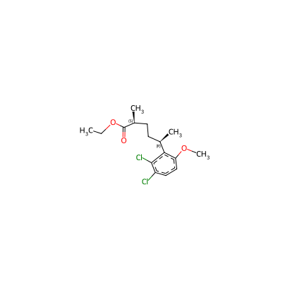 CCOC(=O)[C@@H](C)CC[C@@H](C)c1c(OC)ccc(Cl)c1Cl